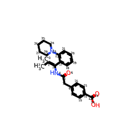 CC(C)=C(NC(=O)Cc1ccc(C(=O)O)cc1)c1ccccc1N1CCCCC1